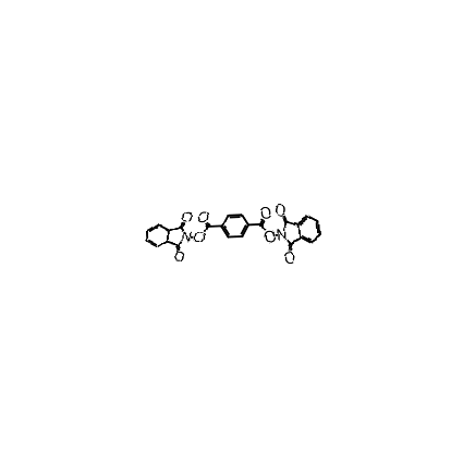 O=C(ON1C(=O)c2ccccc2C1=O)c1ccc(C(=O)ON2C(=O)C3C=CC=CC3C2=O)cc1